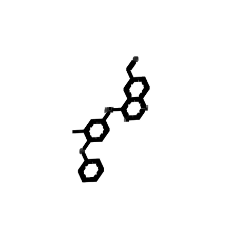 Cc1cc(Nc2ncnc3ccc(C=O)cc23)ccc1Oc1ccccc1